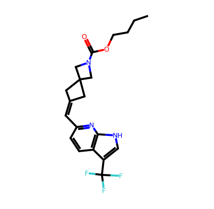 CCCCOC(=O)N1CC2(CC(=Cc3ccc4c(C(F)(F)F)c[nH]c4n3)C2)C1